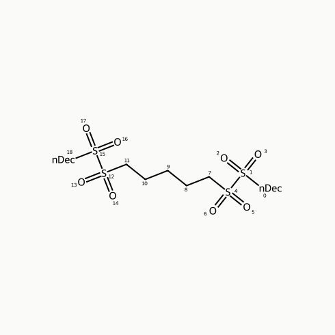 CCCCCCCCCCS(=O)(=O)S(=O)(=O)CCCCCS(=O)(=O)S(=O)(=O)CCCCCCCCCC